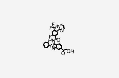 O=C(CO)c1ccc2c(NC(=O)c3cc(-c4ncccn4)c(C(F)(F)F)cc3F)n(-c3ccccc3)nc2c1